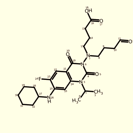 CC(C)n1c(=O)n(N(CCCC=O)CCCC(=O)O)c(=O)c2cc(F)c(NC3CCCCC3)cc21